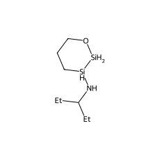 CCC(CC)N[SiH]1CCCO[SiH2]1